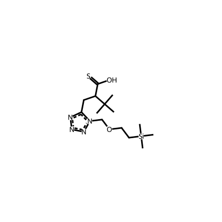 CC(C)(C)C(Cc1nnnn1COCC[Si](C)(C)C)C(O)=S